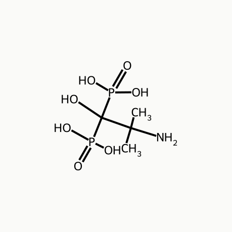 CC(C)(N)C(O)(P(=O)(O)O)P(=O)(O)O